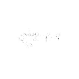 CN(C)C/C=C/C(=O)NCCNc1nc(CN2CCOCC2)cc(Nc2nc3cccnc3s2)n1